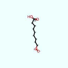 [O]OCCCCCCCCC(=O)O